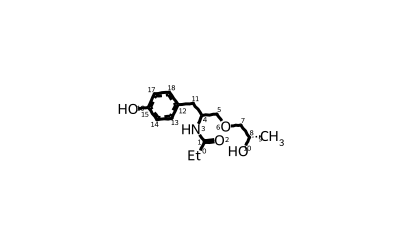 CCC(=O)NC(COC[C@H](C)O)Cc1ccc(O)cc1